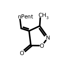 CCCCCC=C1C(=O)ON=C1C